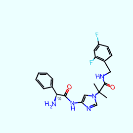 CC(C)(C(=O)NCc1ccc(F)cc1F)n1cnc(NC(=O)[C@@H](N)c2ccccc2)c1